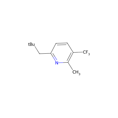 Cc1nc(CC(C)(C)C)ccc1C(F)(F)F